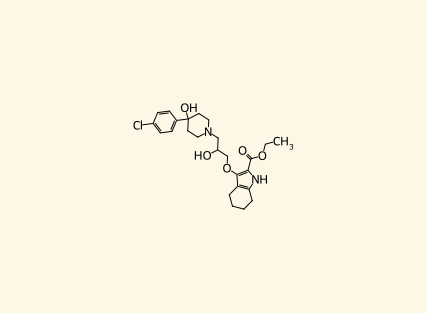 CCOC(=O)c1[nH]c2c(c1OCC(O)CN1CCC(O)(c3ccc(Cl)cc3)CC1)CCCC2